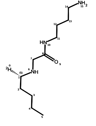 [2H][C@@H](CCCC)NCC(=O)NCCCCN